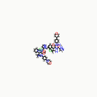 Cn1nccc1C(=O)N[C@H](C(=O)Nc1ccc(C2CCOCC2)cc1)[C@H](c1cccc(Cn2nccc2C(=O)N[C@H](C(=O)Nc2ccc(N3CCOCC3)cc2)C(c2ccccc2Cl)C2(C)CC2)c1Cl)C1(C)CC1